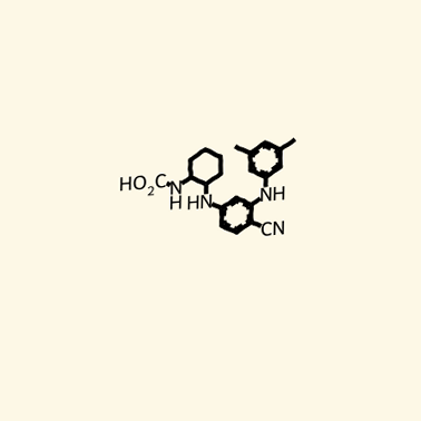 Cc1cc(C)cc(Nc2cc(NC3CCCCC3NC(=O)O)ccc2C#N)c1